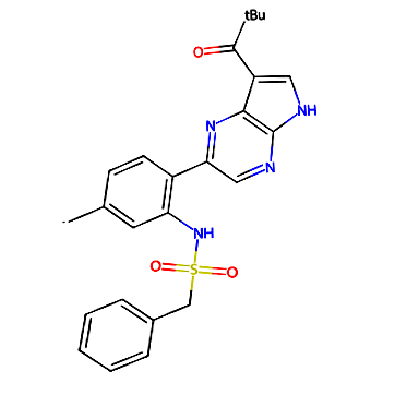 [CH2]c1ccc(-c2cnc3[nH]cc(C(=O)C(C)(C)C)c3n2)c(NS(=O)(=O)Cc2ccccc2)c1